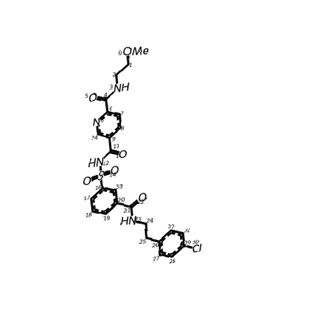 COCCNC(=O)c1ccc(C(=O)NS(=O)(=O)c2cccc(C(=O)NCCc3ccc(Cl)cc3)c2)cn1